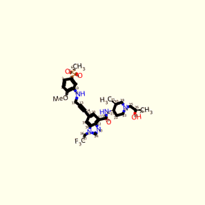 COc1ccc(S(C)(=O)=O)cc1NCC#Cc1cc(C(=O)N[C@H]2CCN(C[C@@H](C)O)C[C@@H]2C)c2ncn(CC(F)(F)F)c2c1